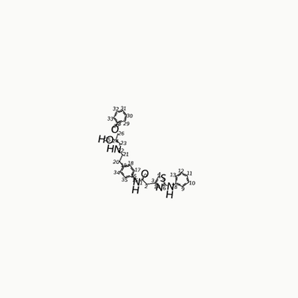 O=C(Cc1csc(Nc2ccccc2)n1)Nc1ccc(CCNC[C@H](O)COc2ccccc2)cc1